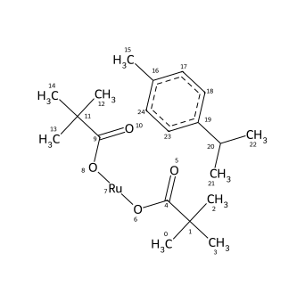 CC(C)(C)C(=O)[O][Ru][O]C(=O)C(C)(C)C.Cc1ccc(C(C)C)cc1